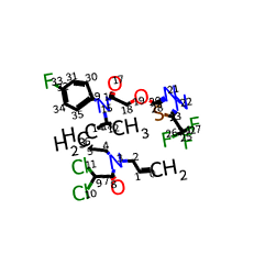 C=CCN(CC=C)C(=O)C(Cl)Cl.CC(C)N(C(=O)COc1nnc(C(F)(F)F)s1)c1ccc(F)cc1